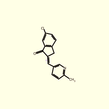 Cc1ccc(/C=C2\Cc3ccc(Cl)cc3C2=O)cn1